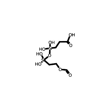 O=COCC[Si](O)(O)O[Si](O)(O)CCC(=O)O